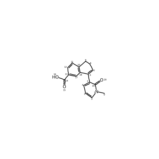 Cn1cccc(C2=CCCc3ccc(C(=O)O)cc32)c1=O